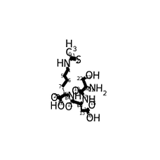 CC(=S)NCCCC[C@H](NC(=O)[C@H](CC(=O)O)NC(=O)[C@@H](N)CO)C(=O)O